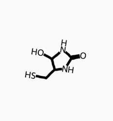 O=C1NC(O)C(CS)N1